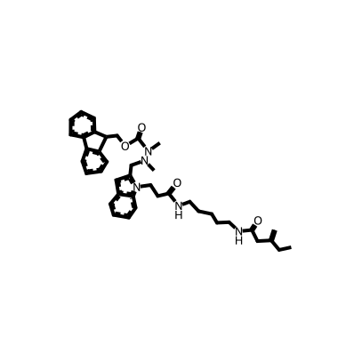 C=C(CC)CC(=O)NCCCCCNC(=O)CCn1c(CN(C)N(C)C(=O)OCC2c3ccccc3-c3ccccc32)cc2ccccc21